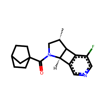 C[C@H]1CN(C(=O)C23CCC(CC2)C3)[C@@H]2c3cncc(F)c3C21